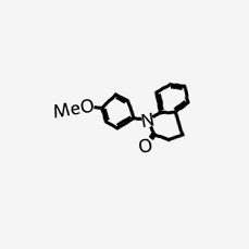 COc1ccc(N2C(=O)CCc3ccccc32)cc1